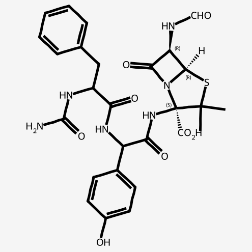 CC1(C)S[C@@H]2[C@H](NC=O)C(=O)N2[C@@]1(NC(=O)C(NC(=O)C(Cc1ccccc1)NC(N)=O)c1ccc(O)cc1)C(=O)O